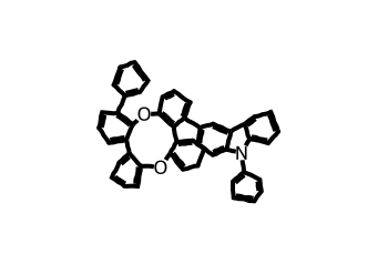 C1=C2Oc3ccccc3-c3cccc(-c4ccccc4)c3Oc3cccc(-c4ccc5c(c4)c4ccccc4n5-c4ccccc4)c3C2=CCC1